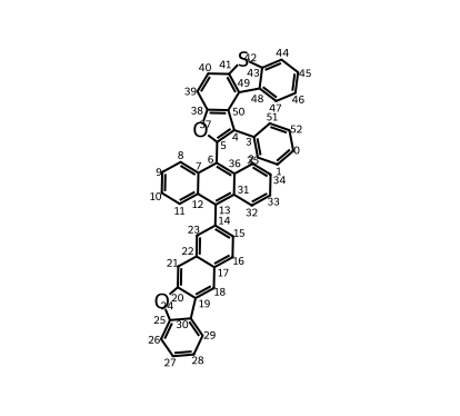 c1ccc(-c2c(-c3c4ccccc4c(-c4ccc5cc6c(cc5c4)oc4ccccc46)c4ccccc34)oc3ccc4sc5ccccc5c4c23)cc1